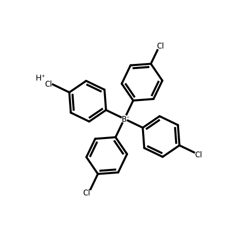 Clc1ccc([B-](c2ccc(Cl)cc2)(c2ccc(Cl)cc2)c2ccc(Cl)cc2)cc1.[H+]